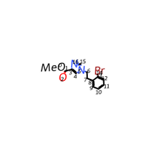 COC(=O)c1cn(CCc2ccccc2Br)cn1